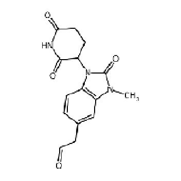 Cn1c(=O)n(C2CCC(=O)NC2=O)c2ccc(CC=O)cc21